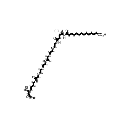 O=C(O)CCCCCCCCCCCCC(=O)N[C@@H](CCC(=O)NCCOCCOCC(=O)NCCOCCOCC(=O)NCCCC[C@H](NP)C1OC1O)C(=O)O